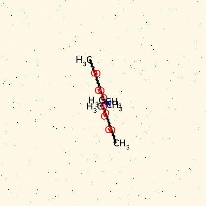 CCCCCCCCOC(=O)CCCCCCCCC(=O)OCCCO/C(C)=C/C(CC(C)OCCCOC(=O)CCCCCCCC(=O)OCCCCCCCC)CN(C)C